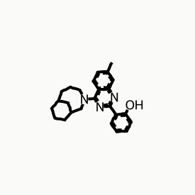 Cc1ccc2c(N3CCCC4CCCC(C4)C3)nc(-c3ccccc3O)nc2c1